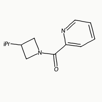 CC(C)C1CN(C(=O)c2ccccn2)C1